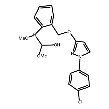 COC(O)N(OC)c1ccccc1COc1ccn(-c2ccc(Cl)cc2)n1